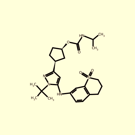 CC(C)NC(=O)O[C@@H]1CC[C@H](c2cc(Nc3ccc4c(c3)S(=O)(=O)CCC4)n(C(C)(C)C)n2)C1